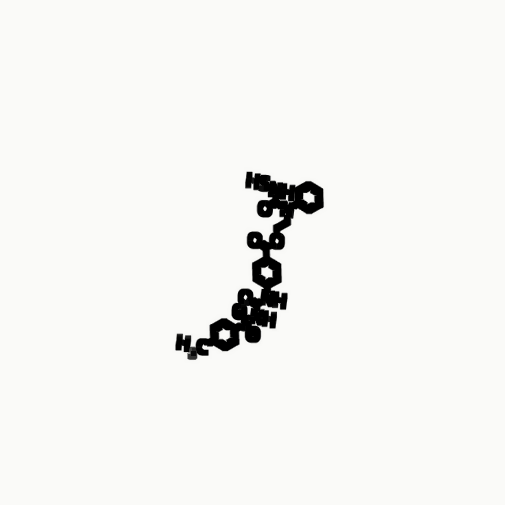 Cc1ccc(S(=O)(=O)NC(=O)Nc2ccc(C(=O)OCCN(C(=O)NS)c3ccccc3)cc2)cc1